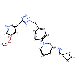 COc1cncc(-c2nnn(Cc3ccc(N4CCC[C@@H](NCC5CCC5)C4)cc3)n2)c1